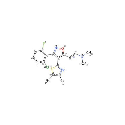 [2H]c1nc(-c2c(-c3c(F)cccc3Cl)noc2/C=C/N(C)C)sc1[2H]